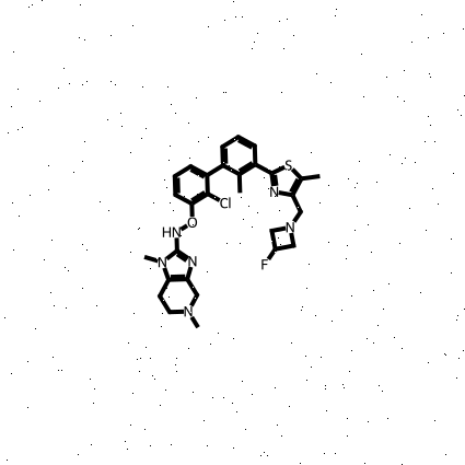 Cc1sc(-c2cccc(-c3cccc(ONc4nc5c(n4C)CCN(C)C5)c3Cl)c2C)nc1CN1CC(F)C1